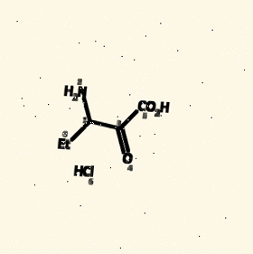 CCC(N)C(=O)C(=O)O.Cl